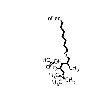 CCCCCCCCCCCCCCCCCSCC(C)CC(C[N+](C)(C)C)OP(=O)(O)O